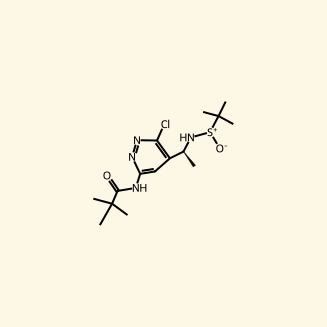 C[C@H](N[S+]([O-])C(C)(C)C)c1cc(NC(=O)C(C)(C)C)nnc1Cl